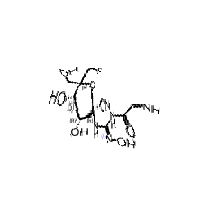 N#C[C@@]1(N/C(=N/O)NC(=O)C=N)O[C@@](CO)(CF)[C@@H](O)[C@H]1O